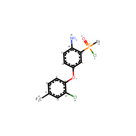 CCP(=O)(Cl)c1cc(Oc2ccc(C(F)(F)F)cc2Cl)ccc1N